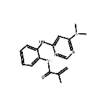 C=C(C)C(=O)Nc1ccccc1Nc1cc(N(C)C)ncn1